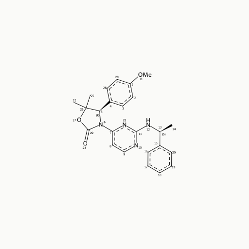 COc1ccc([C@H]2N(c3ccnc(N[C@@H](C)c4ccccc4)n3)C(=O)OC2(C)C)cc1